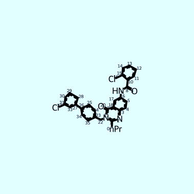 CCCc1nc2ccc(NC(=O)c3ccccc3Cl)cc2c(=O)n1Cc1ccc(-c2cccc(Cl)c2)cc1